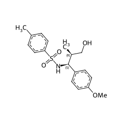 COc1ccc([C@@H](NS(=O)(=O)c2ccc(C)cc2)[C@@H](C)CO)cc1